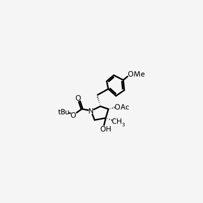 COc1ccc(C[C@@H]2[C@H](OC(C)=O)[C@@](C)(O)CN2C(=O)OC(C)(C)C)cc1